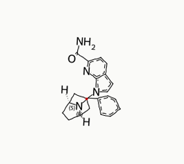 NC(=O)c1ccc2ccn(C3C[C@H]4CC[C@@H](C3)N4Cc3ccccc3)c2n1